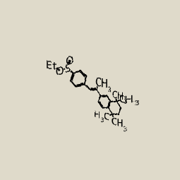 CCOS(=O)c1ccc(C=C(C)c2ccc3c(c2)C(C)(C)CCC3(C)C)cc1